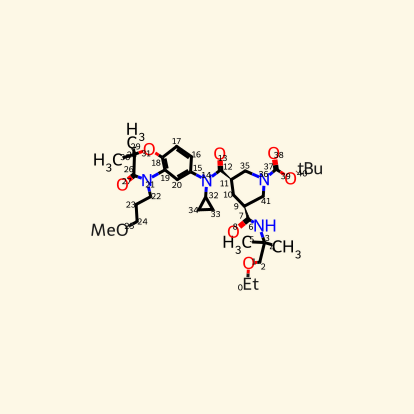 CCOCC(C)(C)NC(=O)[C@H]1C[C@@H](C(=O)N(c2ccc3c(c2)N(CCCOC)C(=O)C(C)(C)O3)C2CC2)CN(C(=O)OC(C)(C)C)C1